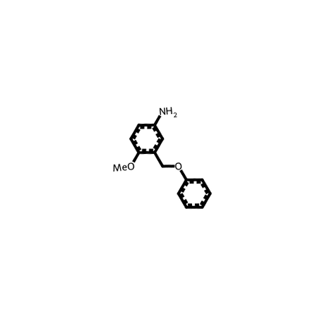 COc1ccc(N)cc1COc1ccccc1